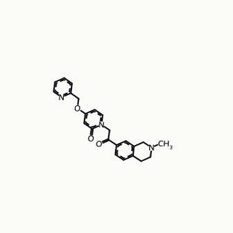 CN1CCc2ccc(C(=O)Cn3ccc(OCc4ccccn4)cc3=O)cc2C1